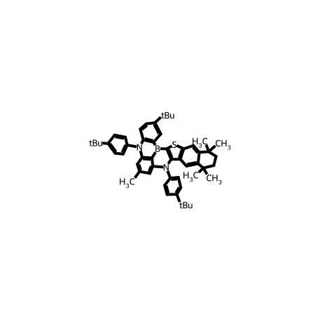 Cc1cc2c3c(c1)N(c1ccc(C(C)(C)C)cc1)c1c(sc4cc5c(cc14)C(C)(C)CCC5(C)C)B3c1cc(C(C)(C)C)ccc1N2c1ccc(C(C)(C)C)cc1